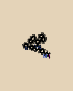 C/N=C(\C=C/CI)c1ccc(C2=NC(c3cc(-c4cccc5ccccc45)cc(C4CC=Cc5ccccc54)c3)=NC(C)(c3ccc(-c4ccccn4)cc3)C2)cc1